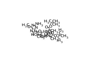 COc1nc(N)nc2c1nc(I)n2[C@@H]1O[C@H](COP(=O)(N[C@H](C)C(=O)OCC(C)(C)C)N[C@H](C)C(=O)OCC(C)(C)C)[C@@H](O)[C@@]1(C)O